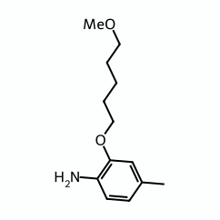 COCCCCCOc1cc(C)ccc1N